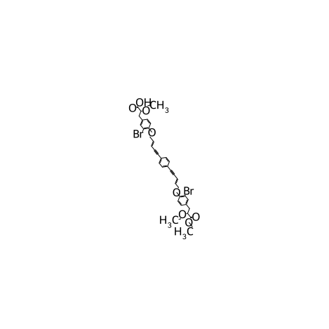 CCOC(=O)C(Cc1ccc(OCC=CC#Cc2ccc(C#CC=CCOc3ccc(CC(OCC)C(=O)O)cc3Br)cc2)c(Br)c1)OCC